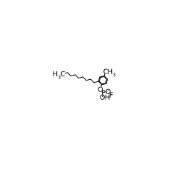 CCCCCCCCCc1cc(C)ccc1OP(O)OF